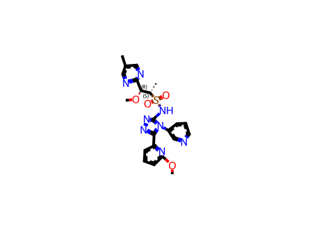 COc1cccc(-c2nnc(NS(=O)(=O)[C@@H](C)[C@H](OC)c3ncc(C)cn3)n2-c2cccnc2)n1